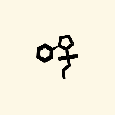 CCCS(=O)(=O)N1OCC[C@H]1c1ccccc1